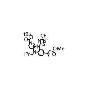 COC(=O)C[C@@H](C)c1ccc(N(CC(C)C)C2CCN(C(=O)OC(C)(C)C)CC2)c(Nc2nc(C(F)(F)F)ns2)c1